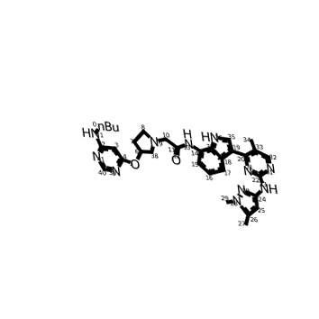 CCCCNc1cc(OC2CCN(CC(=O)Nc3cccc4c(-c5nc(Nc6cc(C)n(C)n6)ncc5C)c[nH]c34)C2)ncn1